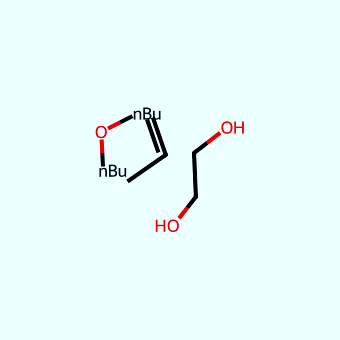 C=CC.CCCCOCCCC.OCCO